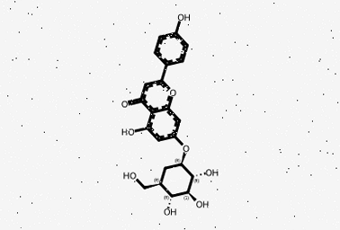 O=c1cc(-c2ccc(O)cc2)oc2cc(O[C@@H]3C[C@H](CO)[C@@H](O)[C@H](O)[C@H]3O)cc(O)c12